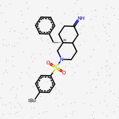 CC(C)(C)c1ccc(S(=O)(=O)N2CCC3CC(=N)CC[C@]3(Cc3ccccc3)C2)cc1